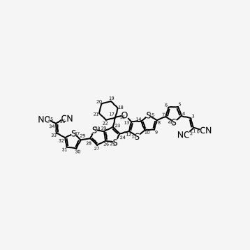 N#CC(C#N)=Cc1ccc(-c2cc3sc4c(c3s2)OC2(CCCCC2)c2c-4sc3cc(-c4ccc(C=C(C#N)C#N)s4)sc23)s1